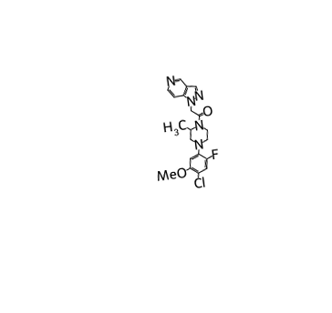 COc1cc(N2CCN(C(=O)Cn3ncc4cnccc43)C(C)C2)c(F)cc1Cl